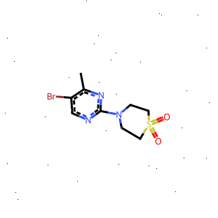 Cc1nc(N2CCS(=O)(=O)CC2)ncc1Br